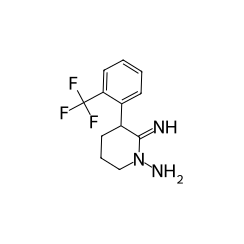 N=C1C(c2ccccc2C(F)(F)F)CCCN1N